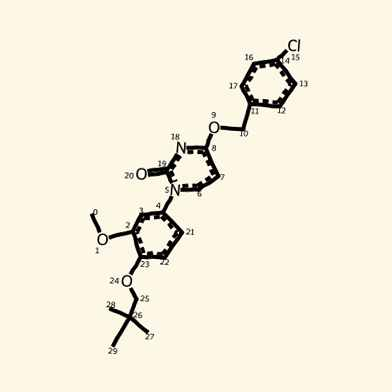 COc1cc(-n2ccc(OCc3ccc(Cl)cc3)nc2=O)ccc1OCC(C)(C)C